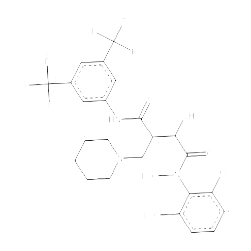 Cc1cccc(C)c1N(C)C(=O)C(C)C(CN1CCCCC1)C(=O)Nc1cc(C(F)(F)F)cc(C(F)(F)F)c1